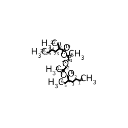 CCCCC(CC)C(=O)OC(C)COCC(C)OC(=O)C(CC)CCCC